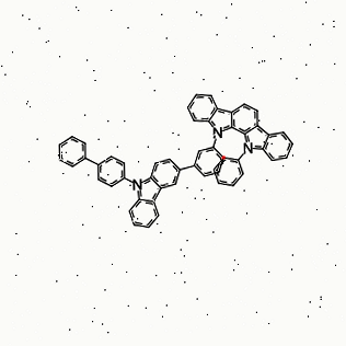 c1ccc(-c2ccc(-n3c4ccccc4c4cc(-c5cccc(-n6c7ccccc7c7ccc8c9ccccc9n(-c9ccccc9)c8c76)c5)ccc43)cc2)cc1